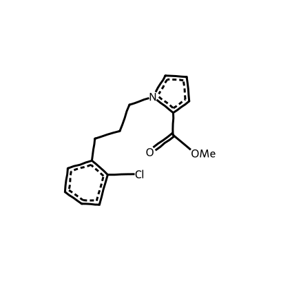 COC(=O)c1cccn1CCCc1ccccc1Cl